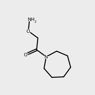 NOCC(=O)N1CCCCCC1